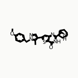 COc1ccc(Cn2ncc(-c3cc4nc(C5NC6CCC5CC6)[nH]c(=O)c4s3)c2C)cc1